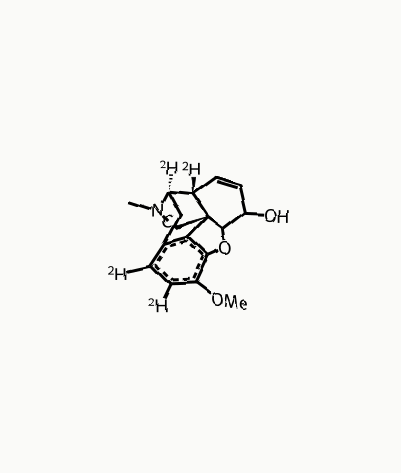 [2H]c1c([2H])c(OC)c2c3c1C[C@@]1([2H])N(C)CC[C@@]34C(O2)C(O)C=C[C@]41[2H]